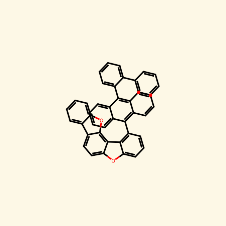 c1ccc(-c2ccccc2-c2c3ccccc3c(-c3cccc4oc5ccc6c7ccccc7oc6c5c34)c3ccccc23)cc1